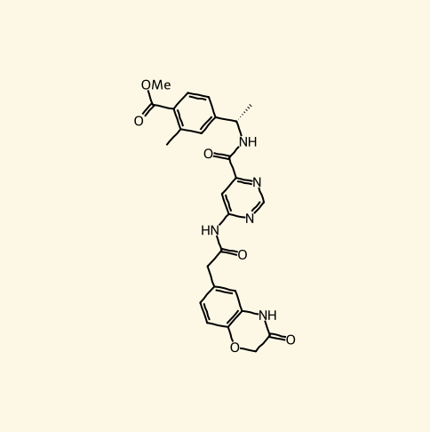 COC(=O)c1ccc([C@H](C)NC(=O)c2cc(NC(=O)Cc3ccc4c(c3)NC(=O)CO4)ncn2)cc1C